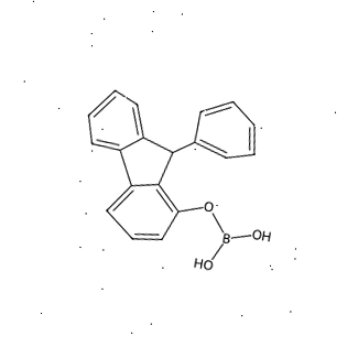 OB(O)Oc1cccc2c1C(c1ccccc1)c1ccccc1-2